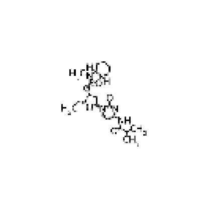 CC[C@H]1O[C@@H](n2ccc(NC(=O)C(C)C)nc2=O)CC1O[P@@]1O[C@H]2CCCC[C@@H]2N1C